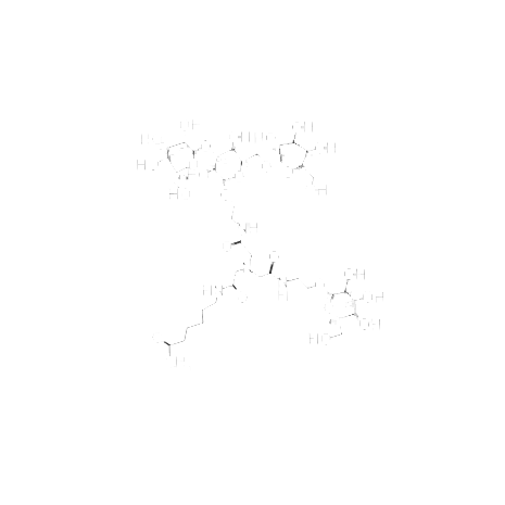 CC(=O)CCCCCNC(=O)CN(CC(=O)NCCO[C@H]1O[C@H](CO)[C@@H](O)[C@H](O)[C@@H]1O)CC(=O)NCCO[C@H]1O[C@H](CO[C@H]2O[C@H](CO)[C@@H](O)[C@H](O)[C@@H]2O)[C@@H](O)[C@H](O[C@H]2O[C@H](CO)[C@@H](O)[C@H](O)[C@@H]2O)[C@@H]1O